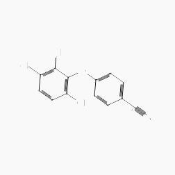 Cc1ccc(Cl)c(Cl)c1Oc1ccc(C#N)cc1